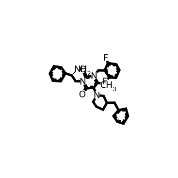 Cc1c(N2CCCC(Cc3ccccc3)C2)c(=O)n(C[C@@H](N)c2ccccc2)c(=O)n1Cc1c(F)cccc1F